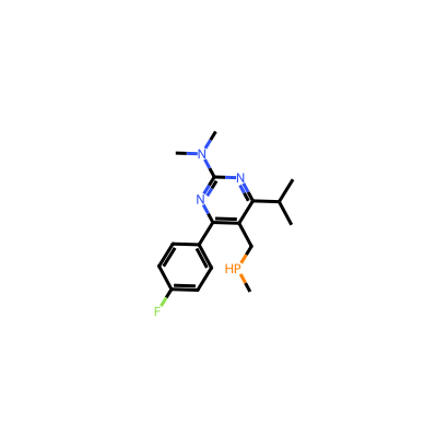 CPCc1c(-c2ccc(F)cc2)nc(N(C)C)nc1C(C)C